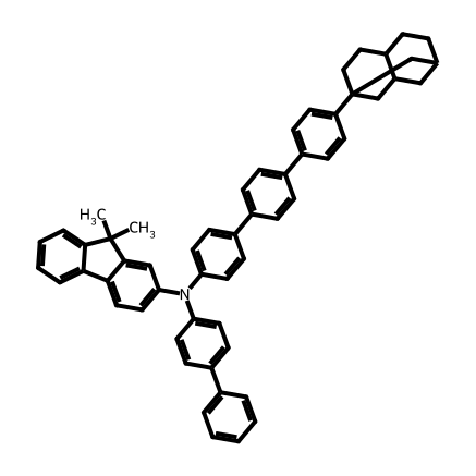 CC1(C)c2ccccc2-c2ccc(N(c3ccc(-c4ccccc4)cc3)c3ccc(-c4ccc(-c5ccc(C67CCC8CCC(CC8C6)C7)cc5)cc4)cc3)cc21